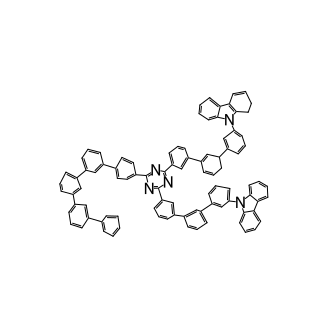 C1=Cc2c(n(-c3cccc(C4C=C(c5cccc(-c6nc(-c7ccc(-c8cccc(-c9cccc(-c%10cccc(-c%11ccccc%11)c%10)c9)c8)cc7)nc(-c7cccc(-c8cccc(-c9cccc(-n%10c%11ccccc%11c%11ccccc%11%10)c9)c8)c7)n6)c5)C=CC4)c3)c3ccccc23)CC1